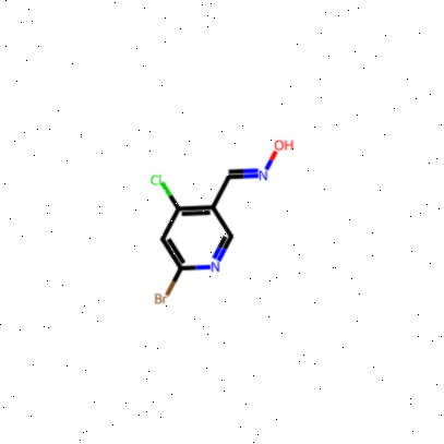 ON=Cc1cnc(Br)cc1Cl